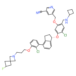 N#Cc1cncc(COc2cc(O[C@H]3CCc4c(-c5cccc(OCCCN6CC7(CC(F)C7)C6)c5Cl)cccc43)c(Cl)cc2CNC2CCC2)c1